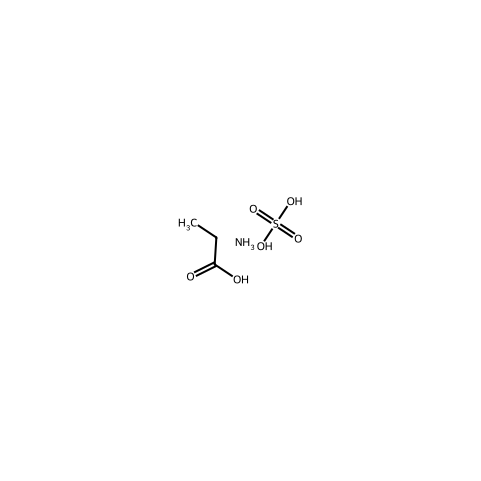 CCC(=O)O.N.O=S(=O)(O)O